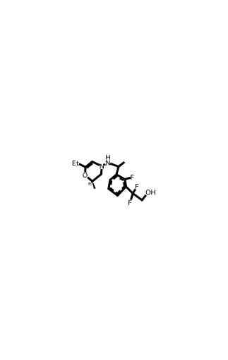 CCC1=CN(NC(C)c2cccc(C(F)(F)CO)c2F)C[C@@H](C)O1